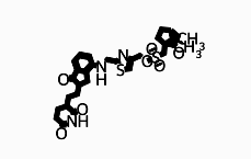 CC1(C)C2CCC1(CS(=O)(=O)OCc1csc(CNc3cccc4c3CC(CCC3CCC(=O)NC3=O)C4=O)n1)C(=O)C2